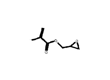 [CH2]C(=C)C(=O)OCC1CO1